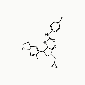 O=C(Nc1ccc(F)cc1)NC1C(=O)N(CC2CC2)CC1c1cc2c(cc1F)OCC2